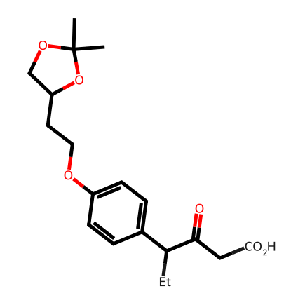 CCC(C(=O)CC(=O)O)c1ccc(OCCC2COC(C)(C)O2)cc1